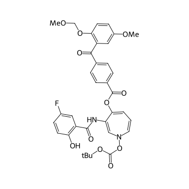 COCOc1ccc(OC)cc1C(=O)c1ccc(C(=O)OC2=CC=CN(OC(=O)OC(C)(C)C)C=C2NC(=O)c2cc(F)ccc2O)cc1